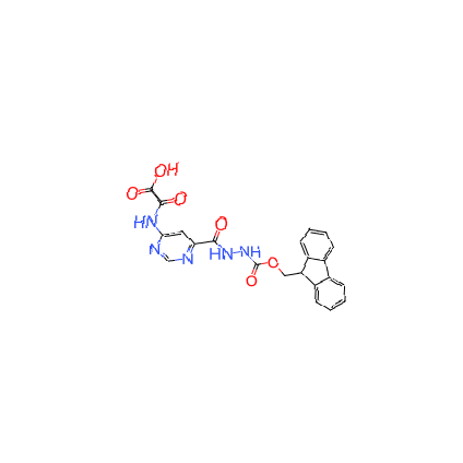 O=C(NNC(=O)c1cc(NC(=O)C(=O)O)ncn1)OCC1c2ccccc2-c2ccccc21